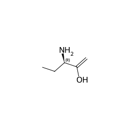 C=C(O)[C@H](N)CC